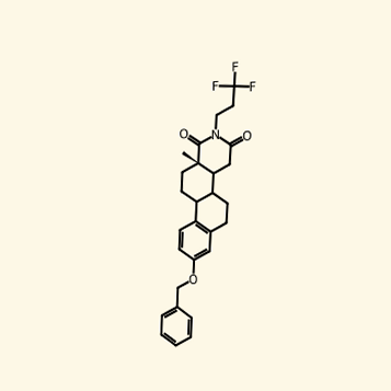 C[C@]12CCC3c4ccc(OCc5ccccc5)cc4CCC3C1CC(=O)N(CCC(F)(F)F)C2=O